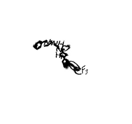 O=C(NCCN[C@@H]1CCN(Cc2ccccc2)C1)C1CCN(c2cccc(OC(F)(F)F)c2)CC1